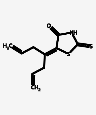 C=CCC(CC=C)=C1SC(=S)NC1=O